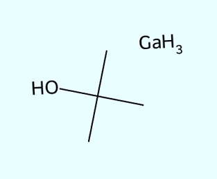 CC(C)(C)O.[GaH3]